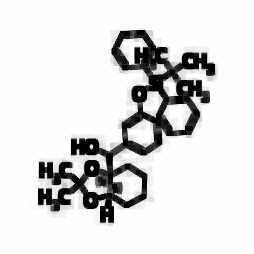 CC1(C)O[C@H]2CCCC[C@@]2(C(O)c2cccc(O[Si](c3ccccc3)(c3ccccc3)C(C)(C)C)c2)O1